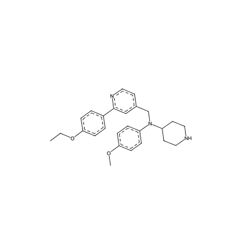 CCOc1ccc(-c2cc(CN(c3ccc(OC)cc3)C3CCNCC3)ccn2)cc1